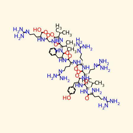 CC(C)C[C@H](NC(=O)[C@@H](N)CCCN=C(N)N)C(=O)N[C@@H](Cc1ccc(O)cc1)C(=O)N[C@@H](CCCN=C(N)N)C(=O)N[C@@H](CCCN=C(N)N)C(=O)N[C@@H](CCCN=C(N)N)C(=O)N[C@@H](Cc1ccccc1)C(=O)N[C@H](C(=O)N[C@H](C(=O)NCC(=O)N[C@@H](CCCN=C(N)N)C(=O)O)C(C)C)C(C)C